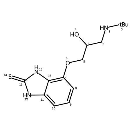 CC(C)(C)NCC(O)COc1cccc2[nH]c(=S)[nH]c12